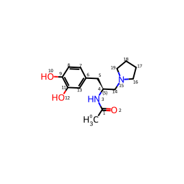 CC(=O)N[C@@H](Cc1ccc(O)c(O)c1)CN1CCCC1